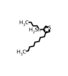 CCCCCCCCc1csc[c]1[SnH2][CH2]CCC